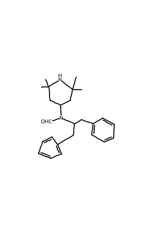 CC1(C)CC(N(C=O)C(Cc2ccccc2)Cc2ccccc2)CC(C)(C)N1